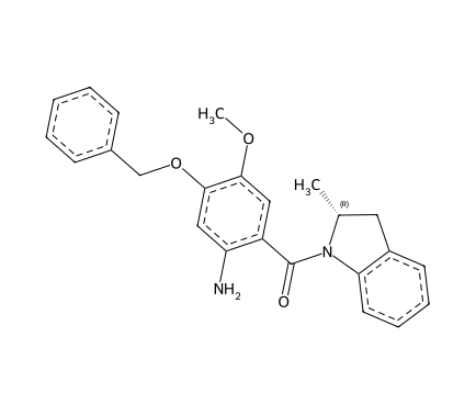 COc1cc(C(=O)N2c3ccccc3C[C@H]2C)c(N)cc1OCc1ccccc1